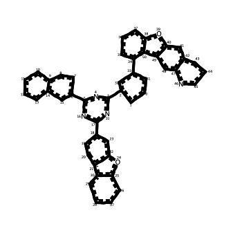 c1cc(-c2nc(-c3ccc4ccccc4c3)nc(-c3ccc4c(c3)oc3ccccc34)n2)cc(-c2cccc3oc4cc5cccnc5cc4c23)c1